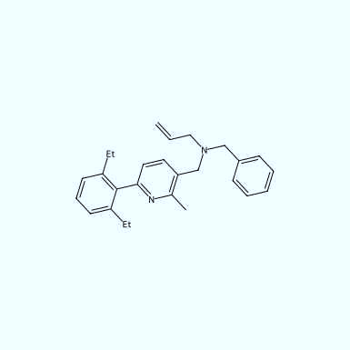 C=CCN(Cc1ccccc1)Cc1ccc(-c2c(CC)cccc2CC)nc1C